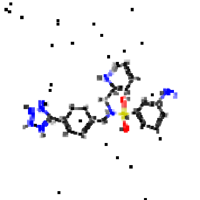 Nc1cccc(S(=O)(=O)N(Cc2ccc(-c3nnn[nH]3)cc2)Cc2ccccn2)c1